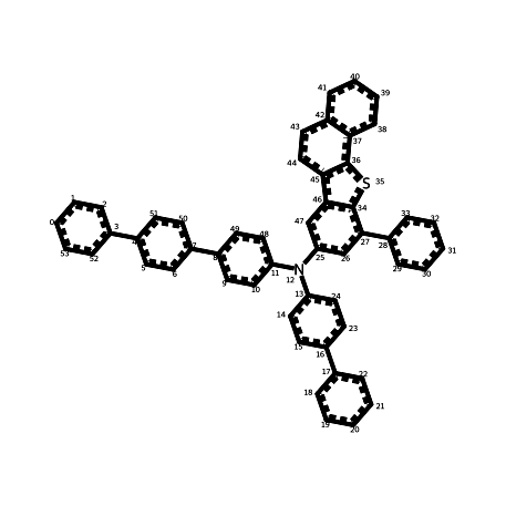 c1ccc(-c2ccc(-c3ccc(N(c4ccc(-c5ccccc5)cc4)c4cc(-c5ccccc5)c5sc6c7ccccc7ccc6c5c4)cc3)cc2)cc1